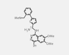 CNCc1ccccc1-c1ccc([C@@H](N)Nc2nnc(C(C)C)c3cc(OC)c(OC)cc23)s1